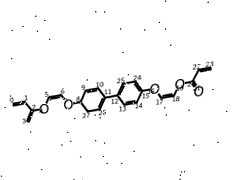 C=CC(=C)O/C=C\OC1C=CC(c2ccc(O/C=C\OC(=O)C=C)cc2)=CC1